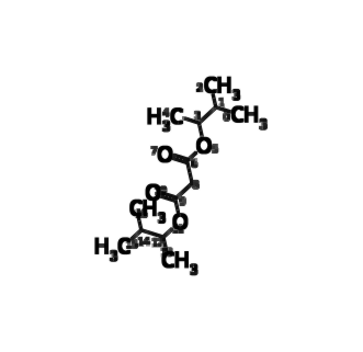 CC(C)C(C)OC(=O)CC(=O)OC(C)C(C)C